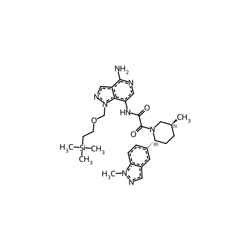 C[C@H]1CC[C@H](c2ccc3c(cnn3C)c2)N(C(=O)C(=O)Nc2cnc(N)c3cnn(COCC[Si](C)(C)C)c23)C1